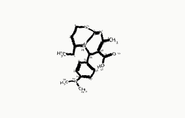 CCC1CCSC2=NC(C)=C(C(=O)O)C(c3ccc(N(C)C)cc3)N21